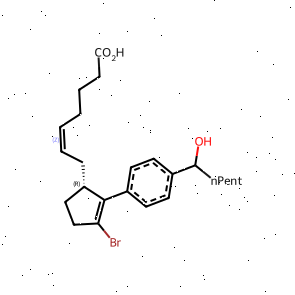 CCCCCC(O)c1ccc(C2=C(Br)CC[C@@H]2C/C=C\CCCC(=O)O)cc1